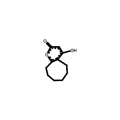 O=c1cc(O)c2c(o1)CCCCCC2